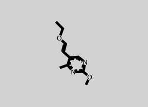 CCOC=Cc1cnc(OC)nc1C